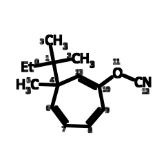 CCC(C)(C)C1(C)C=CC=CC(OC#N)=C1